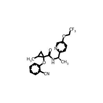 CC1CC1(Oc1ccccc1C#N)C(=O)N[C@H](C)c1ccc(OCC(F)(F)F)cn1